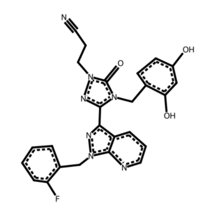 N#CCCn1nc(-c2nn(Cc3ccccc3F)c3ncccc23)n(Cc2ccc(O)cc2O)c1=O